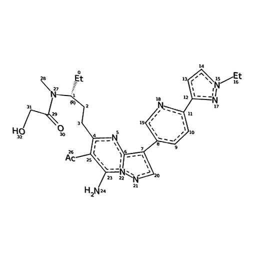 CC[C@H](CCc1nc2c(-c3ccc(-c4ccn(CC)n4)nc3)cnn2c(N)c1C(C)=O)N(C)C(=O)CO